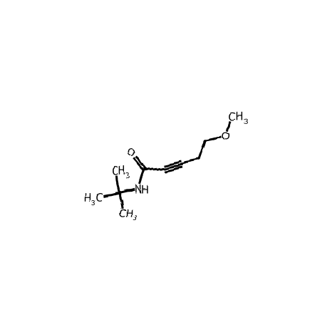 COCCC#CC(=O)NC(C)(C)C